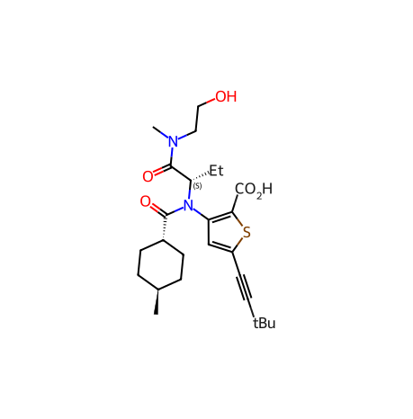 CC[C@@H](C(=O)N(C)CCO)N(c1cc(C#CC(C)(C)C)sc1C(=O)O)C(=O)[C@H]1CC[C@H](C)CC1